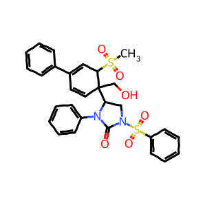 CS(=O)(=O)C1C=C(c2ccccc2)C=CC1(CO)C1CN(S(=O)(=O)c2ccccc2)C(=O)N1c1ccccc1